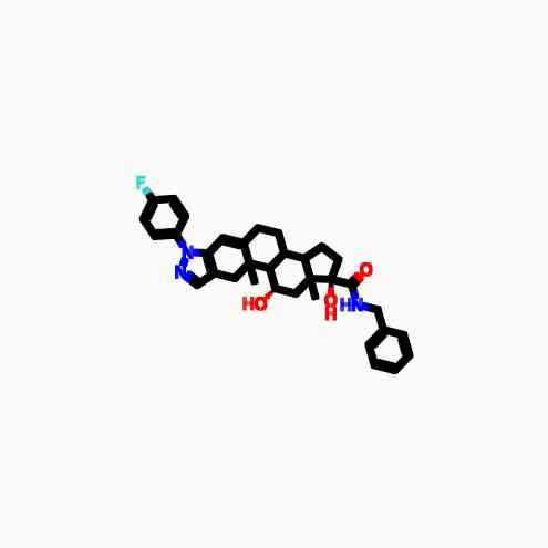 CC12Cc3cnn(-c4ccc(F)cc4)c3C=C1CCC1C2[C@@H](O)CC2(C)C1CC[C@]2(O)C(=O)NCc1ccccc1